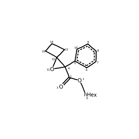 CCCCCCOC(=O)C1(c2ccccc2)OC12CCC2